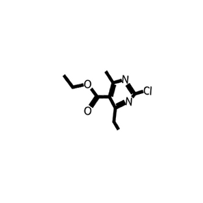 CCOC(=O)c1c(C)nc(Cl)nc1CC